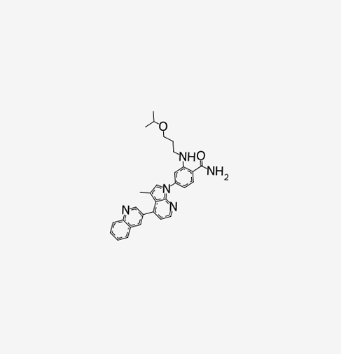 Cc1cn(-c2ccc(C(N)=O)c(NCCCOC(C)C)c2)c2nccc(-c3cnc4ccccc4c3)c12